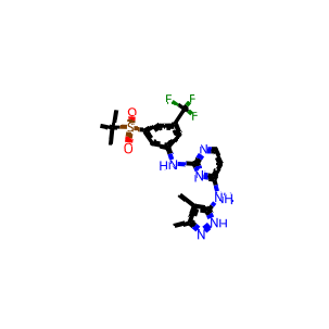 Cc1n[nH]c(Nc2ccnc(Nc3cc(C(F)(F)F)cc(S(=O)(=O)C(C)(C)C)c3)n2)c1C